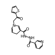 O=C(NNC(=O)c1cccnc1)C1=CN(CC(=O)c2cccs2)C=CC1